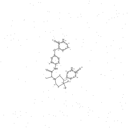 CC(C(=O)Nc1ccc(Oc2ccc[nH]c2=O)cn1)N1CCC(F)(F)[C@@H](c2ccc(=O)[nH]c2)C1